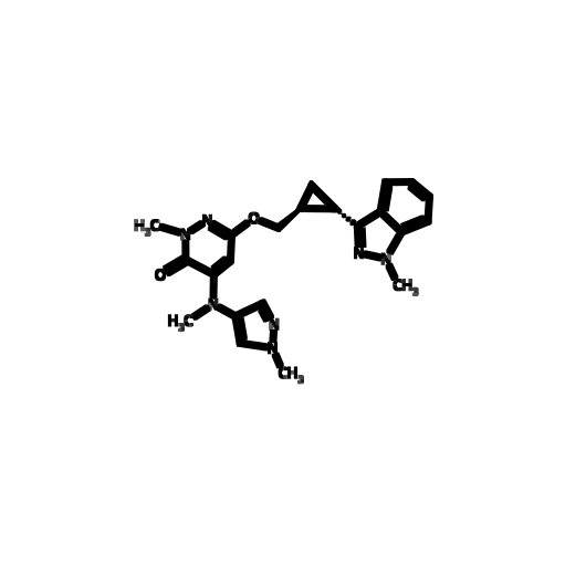 CN(c1cnn(C)c1)c1cc(OC[C@H]2C[C@@H]2c2nn(C)c3ccccc23)nn(C)c1=O